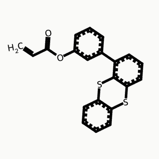 C=CC(=O)Oc1cccc(-c2cccc3c2Sc2ccccc2S3)c1